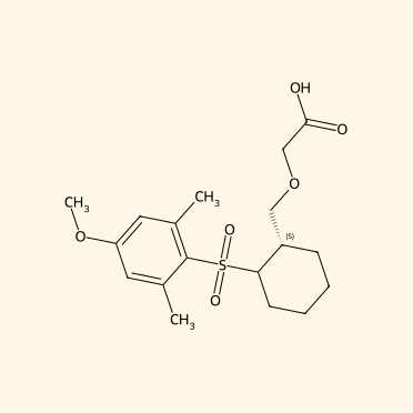 COc1cc(C)c(S(=O)(=O)C2CCCC[C@H]2COCC(=O)O)c(C)c1